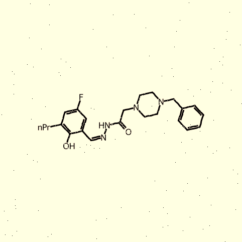 CCCc1cc(F)cc(/C=N\NC(=O)CN2CCN(Cc3ccccc3)CC2)c1O